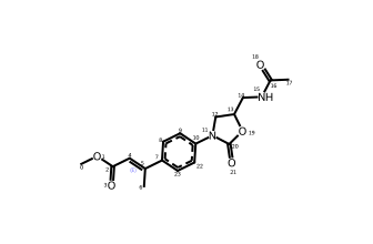 COC(=O)/C=C(\C)c1ccc(N2CC(CNC(C)=O)OC2=O)cc1